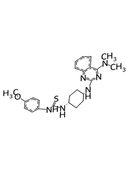 COc1ccc(NC(=S)N[C@H]2CC[C@@H](Nc3nc(N(C)C)c4ccccc4n3)CC2)cc1